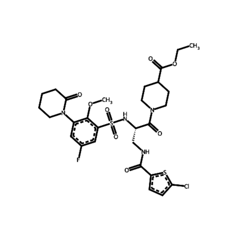 CCOC(=O)C1CCN(C(=O)[C@H](CNC(=O)c2ccc(Cl)s2)NS(=O)(=O)c2cc(F)cc(N3CCCCC3=O)c2OC)CC1